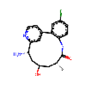 C[C@@H]1CC(O)C[C@H](N)c2cc(ccn2)-c2cc(F)ccc2NC1=O